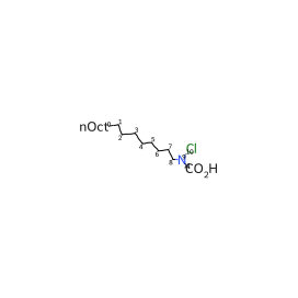 CCCCCCCCCCCCCCCCN(Cl)C(=O)O